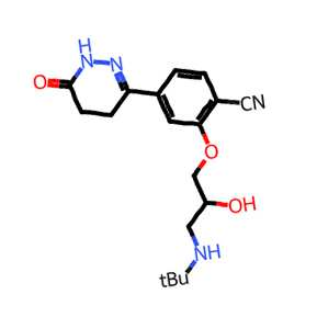 CC(C)(C)NCC(O)COc1cc(C2=NNC(=O)CC2)ccc1C#N